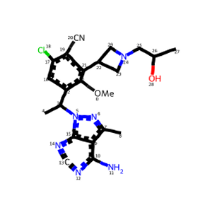 COc1c(C(C)n2nc(C)c3c(N)ncnc32)cc(Cl)c(C#N)c1C1CN(CC(C)O)C1